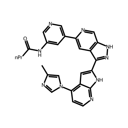 CCCC(=O)Nc1cncc(-c2cc3c(-c4cc5c(-n6cnc(C)c6)ccnc5[nH]4)n[nH]c3cn2)c1